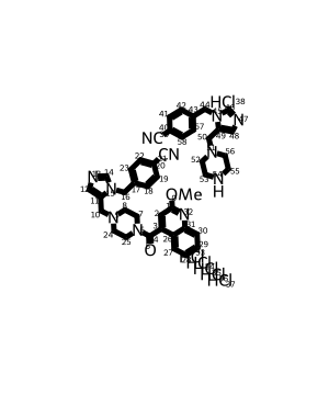 COc1cc(C(=O)N2CCN(Cc3cncn3Cc3ccc(C#N)cc3)CC2)c2ccccc2n1.Cl.Cl.Cl.Cl.Cl.Cl.N#Cc1ccc(Cn2cncc2CN2CCNCC2)cc1